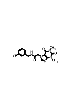 Cn1c(=O)c2c(ncn2CC(=O)NCc2cccc(Cl)c2)n(C)c1=O